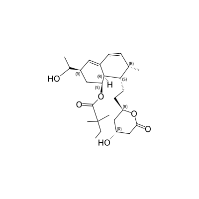 CCC(C)(C)C(=O)O[C@H]1C[C@@H](C(C)O)C=C2C=C[C@H](C)[C@H](CC[C@@H]3C[C@@H](O)CC(=O)O3)[C@H]21